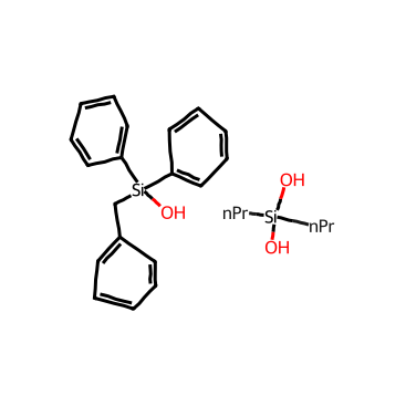 CCC[Si](O)(O)CCC.O[Si](Cc1ccccc1)(c1ccccc1)c1ccccc1